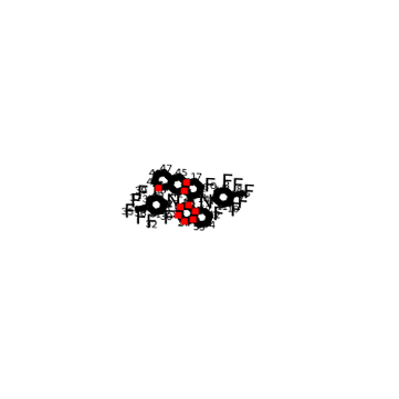 Fc1c(F)c(C(F)(F)F)c(F)c(F)c1N(c1ccccc1-c1ccccc1N(c1c(F)c(F)c(C(F)(F)F)c(F)c1F)c1cccc2ccccc12)c1cccc2ccccc12